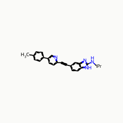 Cc1ccc(-c2ccc(C#Cc3ccc4[nH]c(NC(C)C)nc4c3)nc2)cc1